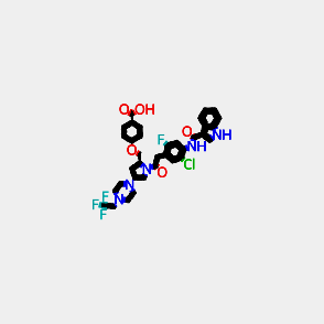 O=C(Nc1cc(F)c(CC(=O)N2C[C@@H](N3CCN(CC(F)(F)F)CC3)C[C@H]2CO[C@H]2CC[C@H](C(=O)O)CC2)cc1Cl)c1c[nH]c2ccccc12